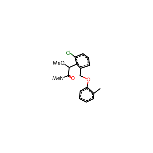 CNC(=O)C(OC)c1c(Cl)cccc1COc1ccccc1C